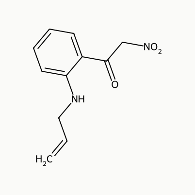 C=CCNc1ccccc1C(=O)C[N+](=O)[O-]